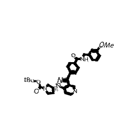 COc1cccc(CNC(=O)c2ccc(-c3nn([C@@H]4CCN(C(=O)OC(C)(C)C)C4)c4ccncc34)cc2)c1